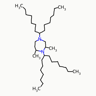 CCCCCCCC(CCCCCCC)N1CCC(C)N(C(CCCCCCC)CCCCCCC)C(C)C1